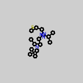 c1ccc(-c2cc(-c3ccccc3)cc(-c3nc(-c4cccc(-c5ccc6sc7ccccc7c6c5)c4)nc(-c4cccc(-c5cccc6c5c5cc(-c7ccccc7)ccc5n6-c5ccc6c(c5)C(c5ccccc5)(c5ccccc5)c5ccccc5-6)c4)n3)c2)cc1